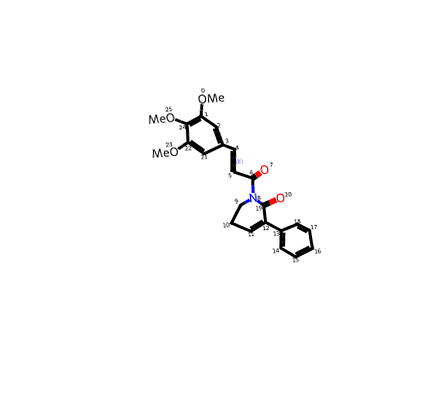 COc1cc(/C=C/C(=O)N2CCC=C(c3ccccc3)C2=O)cc(OC)c1OC